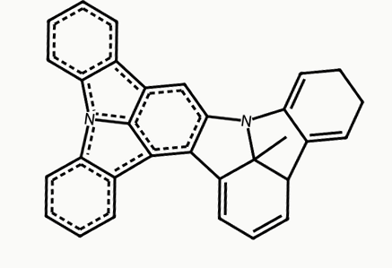 CC12C3=CC=CC1C1=CCCC=C1N2c1cc2c4ccccc4n4c5ccccc5c(c13)c24